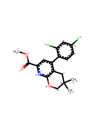 COC(=O)c1cc(-c2ccc(F)cc2F)c2c(n1)OCC(C)(C)C2